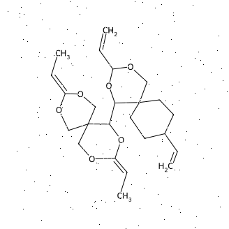 C=CC1CCC2(CC1)COC(C=C)OC2C1OC(=CC)OCC12COC(=CC)OC2